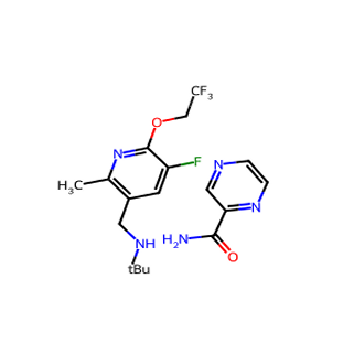 Cc1nc(OCC(F)(F)F)c(F)cc1CNC(C)(C)C.NC(=O)c1cnccn1